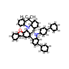 CC1(C)c2ccccc2N2c3c(cccc31)B1c3c(cc4c(oc5ccccc54)c32)-c2ccc(-c3ccccc3)cc2N1c1ccc(-c2ccccc2)cc1